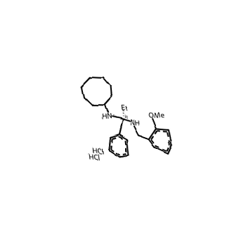 CC[C@@](NCc1ccccc1OC)(NC1CCCCCCC1)c1ccccc1.Cl.Cl